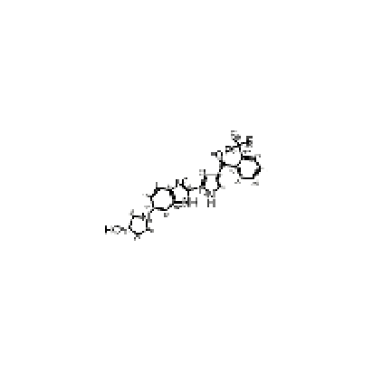 O=C(c1c[nH]c(-c2nc3ccc(N4CC[C@H](O)C4)cc3[nH]2)c1)c1ccccc1C(F)(F)F